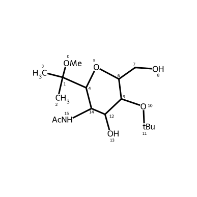 COC(C)(C)C1OC(CO)C(OC(C)(C)C)C(O)C1NC(C)=O